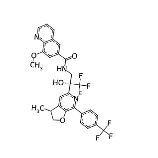 COc1cc(C(=O)NC[C@](O)(c2cc3c(c(-c4ccc(C(F)(F)F)cc4)n2)OCC3C)C(F)(F)F)cc2cccnc12